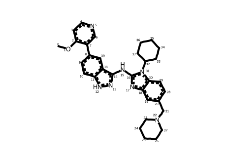 COc1ccncc1-c1ccc2[nH]nc(Nc3nc4cc(CN5CCCCC5)ccc4n3C3CCCCC3)c2c1